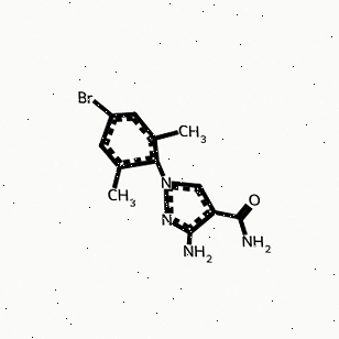 Cc1cc(Br)cc(C)c1-n1cc(C(N)=O)c(N)n1